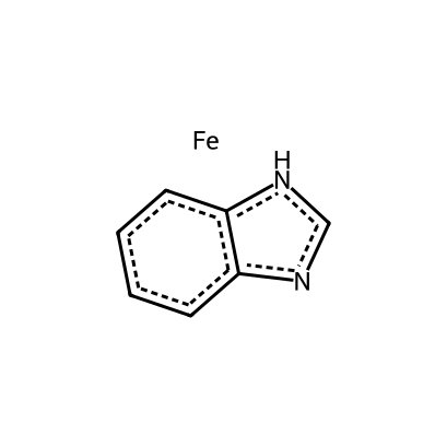 [Fe].c1ccc2[nH]cnc2c1